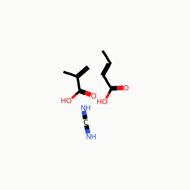 C=C(C)C(=O)O.CC=CC(=O)O.N=C=N